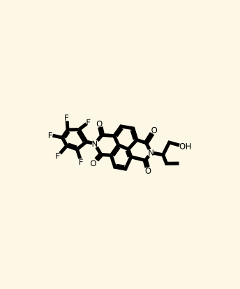 CCC(CO)N1C(=O)c2ccc3c4c(ccc(c24)C1=O)C(=O)N(c1c(F)c(F)c(F)c(F)c1F)C3=O